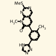 CSc1ncc2cc(-c3cc(-c4nnc[nH]4)ccc3C)c(=O)n(C)c2n1